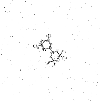 FC1(F)CN(c2cc(Cl)nc(Cl)n2)CC(F)(F)O1